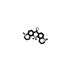 CN1CCCc2c1ccc1c2[Si](C)(C)c2c(ccc3c2CCCN3C)C1=O